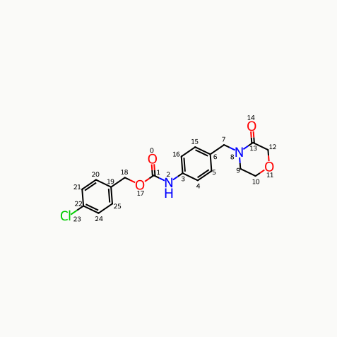 O=C(Nc1ccc(CN2CCOCC2=O)cc1)OCc1ccc(Cl)cc1